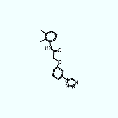 Cc1cccc(NC(=O)COc2cccc(-n3cnnn3)c2)c1C